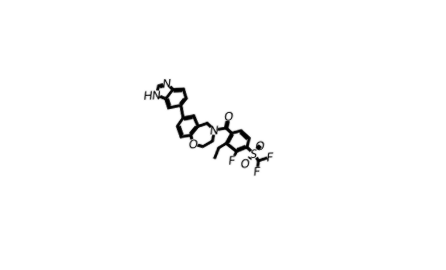 CCc1c(C(=O)N2CCOc3ccc(-c4ccc5nc[nH]c5c4)cc3C2)ccc(S(=O)(=O)C(F)F)c1F